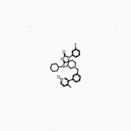 Cc1cc[n+]([O-])cc1-c1cccc(CN2CCC3(CC2)C(NC2CCCCC2)=NC(=O)N3c2cccc(F)c2)c1